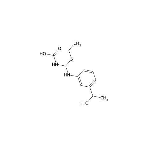 CCSC(NC(=O)O)Nc1cccc(C(C)C)c1